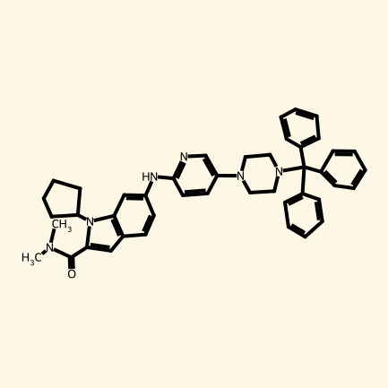 CN(C)C(=O)c1cc2ccc(Nc3ccc(N4CCN(C(c5ccccc5)(c5ccccc5)c5ccccc5)CC4)cn3)cc2n1C1CCCC1